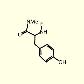 CNC(=O)C(Cc1ccc(O)cc1)NF